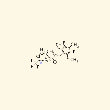 CCc1c(F)c(C)c(F)c(CC)c1COC(=O)[C@@H]1[C@H](/C=C(\Cl)C(F)(F)F)C1(C)C